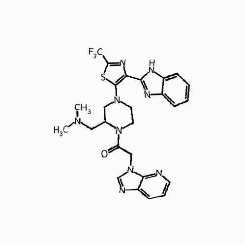 CN(C)CC1CN(c2sc(C(F)(F)F)nc2-c2nc3ccccc3[nH]2)CCN1C(=O)Cn1cnc2cccnc21